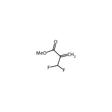 C=C(C(=O)OC)C(F)F